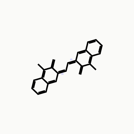 C=c1c(C)c2ccccc2c/c1=C/C=c1/cc2ccccc2c(C)c1=C